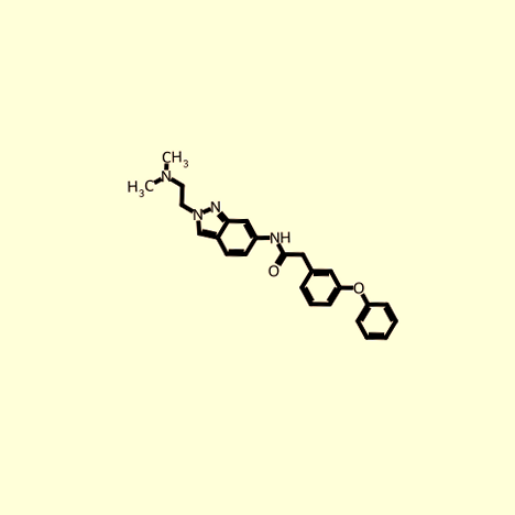 CN(C)CCn1cc2ccc(NC(=O)Cc3cccc(Oc4ccccc4)c3)cc2n1